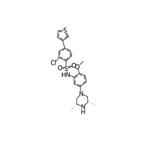 COc1ccc(N2C[C@@H](C)N[C@@H](C)C2)cc1NS(=O)(=O)c1ccc(-c2ccsc2)cc1Cl